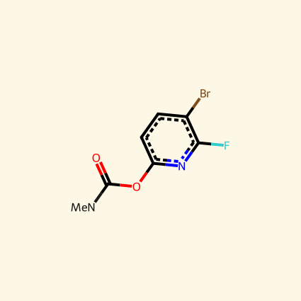 CNC(=O)Oc1ccc(Br)c(F)n1